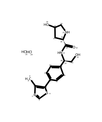 Cc1ncsc1-c1ccc([C@H](CO)NC(=O)[C@@H]2CC(O)CN2)cc1.Cl.Cl